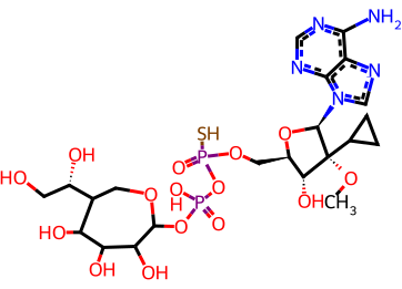 CO[C@]1(C2CC2)[C@H](O)[C@@H](COP(=O)(S)OP(=O)(O)OC2OCC([C@@H](O)CO)C(O)C(O)C2O)O[C@H]1n1cnc2c(N)ncnc21